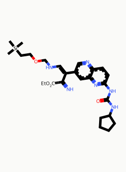 CCOC(=O)C(=N)/C(=C\NCOCC[Si](C)(C)C)c1cnc2ccc(NC(=O)NC3CCCC3)nc2c1